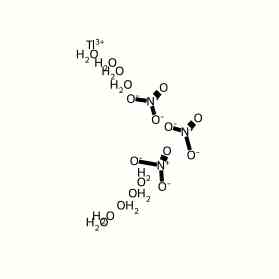 O.O.O.O.O.O.O.O.O.O=[N+]([O-])[O-].O=[N+]([O-])[O-].O=[N+]([O-])[O-].[Tl+3]